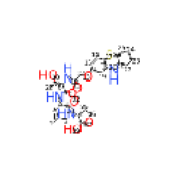 CC(C)C[C@H](NC(=O)[C@@H](NC(=O)COc1ccc2c(c1)Nc1ccccc1S2)[C@@H](C)O)C(=O)N[C@H]1CCOC1O